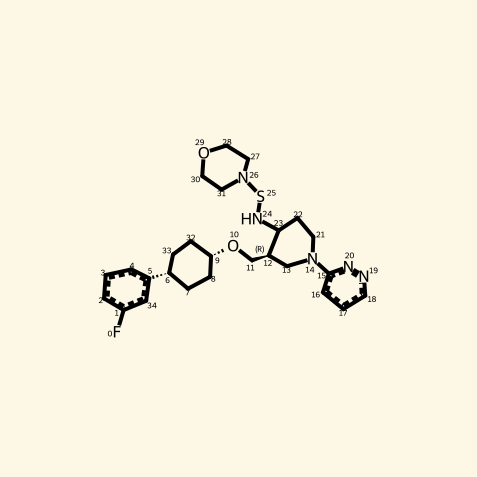 Fc1cccc([C@H]2CC[C@@H](OC[C@@H]3CN(c4cccnn4)CCC3NSN3CCOCC3)CC2)c1